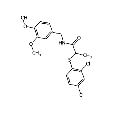 COc1ccc(CNC(=O)C(C)Sc2ccc(Cl)cc2Cl)cc1OC